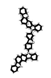 c1ccc2c(c1)sc1c3cc4c5ccccc5n(-c5ccc6c(c5)oc5cc(-n7c8ccccc8c8cc9c(ccc%10c%11ccccc%11sc9%10)cc87)ccc56)c4cc3ccc21